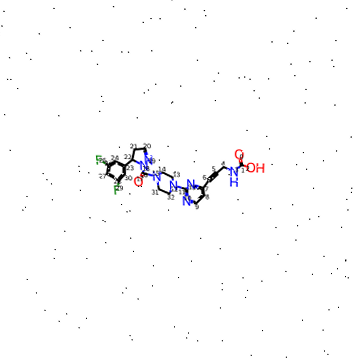 O=C(O)NCC#Cc1ccnc(N2CCN(C(=O)N3N=CCC3c3cc(F)cc(F)c3)CC2)n1